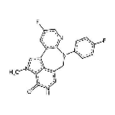 Cn1cc2c3c(c[nH]c(=O)c31)CN(c1ccc(F)cc1)c1ncc(F)cc1-2